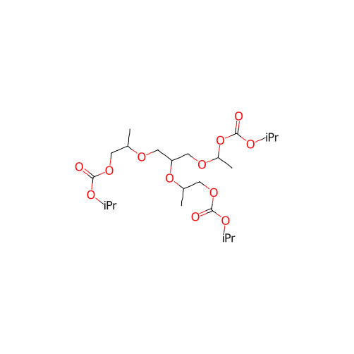 CC(C)OC(=O)OCC(C)OCC(COC(C)OC(=O)OC(C)C)OC(C)COC(=O)OC(C)C